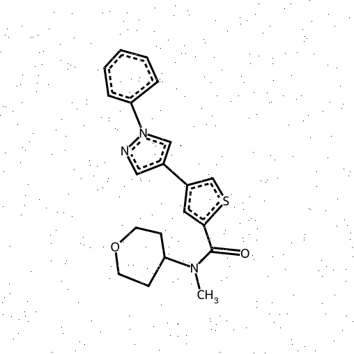 CN(C(=O)c1cc(-c2cnn(-c3ccccc3)c2)cs1)C1CCOCC1